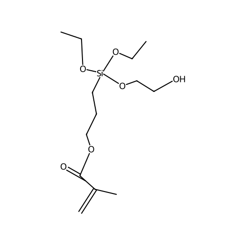 C=C(C)C(=O)OCCC[Si](OCC)(OCC)OCCO